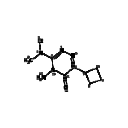 CCN(C)c1nnc(C2CCC2)c(=O)n1N